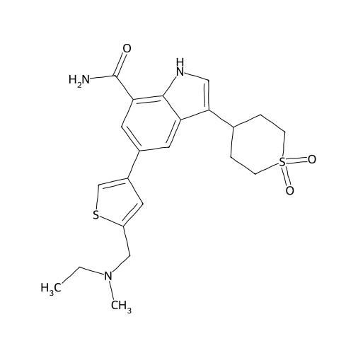 CCN(C)Cc1cc(-c2cc(C(N)=O)c3[nH]cc(C4CCS(=O)(=O)CC4)c3c2)cs1